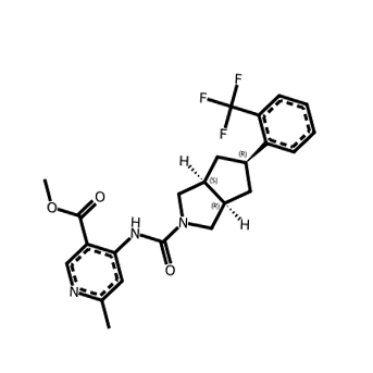 COC(=O)c1cnc(C)cc1NC(=O)N1C[C@H]2C[C@@H](c3ccccc3C(F)(F)F)C[C@H]2C1